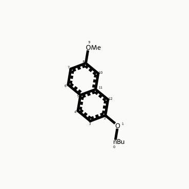 CCCCOc1ccc2ccc(OC)cc2c1